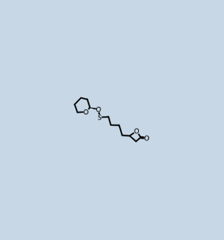 O=C1CC(CCCCSO[C@@H]2CCCCO2)O1